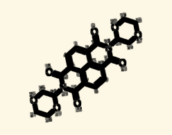 O=C1c2ccc3c4c(ccc(c24)C(=O)N1C1COCCO1)C(=O)N(C1COCCO1)C3=O